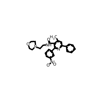 Cc1cc(-c2ccccc2)nc(-c2cccc([N+](=O)[O-])c2)c1C(=O)NCCN1CCOCC1